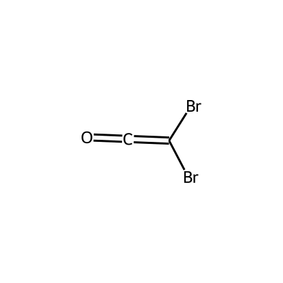 O=C=C(Br)Br